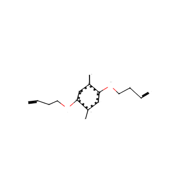 C=CCCOc1cc(C)c(OCCC=C)cc1C